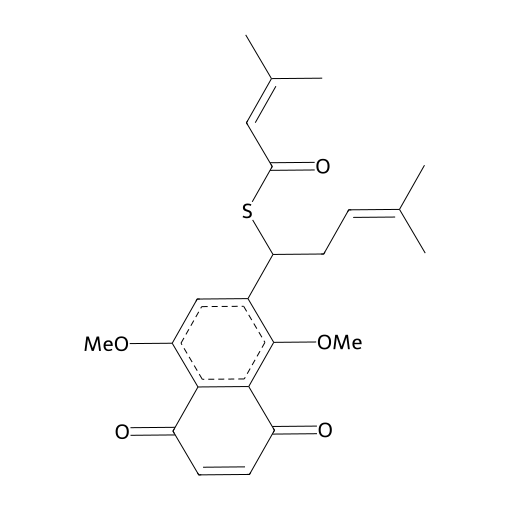 COc1cc(C(CC=C(C)C)SC(=O)C=C(C)C)c(OC)c2c1C(=O)C=CC2=O